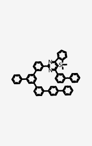 C[Si]1(C)c2ccccc2-c2nc(-c3cccc(-c4cc(-c5ccccc5)cc(-c5cccc(-c6ccc(-c7ccccc7)cc6)c5)c4)c3)nc(-c3cccc(-c4ccccc4)c3)c21